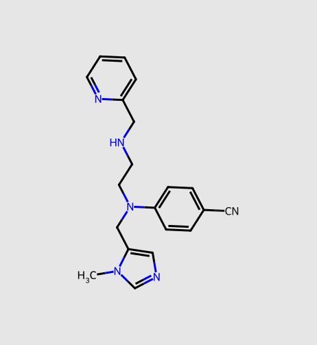 Cn1cncc1CN(CCNCc1ccccn1)c1ccc(C#N)cc1